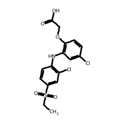 CCS(=O)(=O)c1ccc(Nc2cc(Cl)ccc2OCC(=O)O)c(Cl)c1